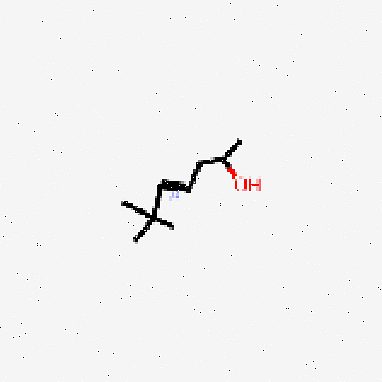 CC(O)C/C=C/C(C)(C)C